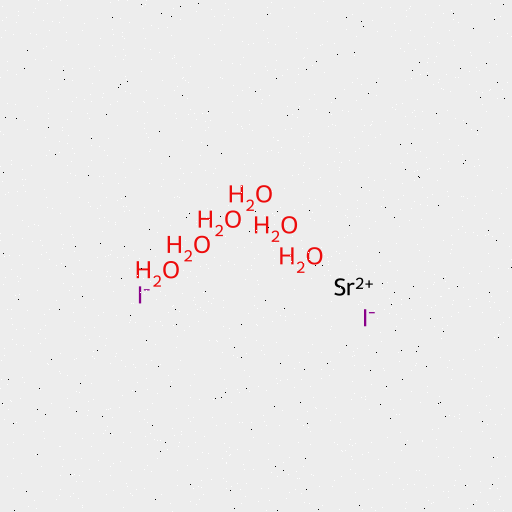 O.O.O.O.O.O.[I-].[I-].[Sr+2]